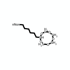 CCCCCCCCCCCCCCC[SiH]1O[SiH2]O[SiH2]O[SiH2]O[SiH2]O1